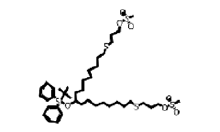 CC(C)(C)[Si](OC(CCCCCCCCSCCCOS(C)(=O)=O)CCCCCCCCSCCCOS(C)(=O)=O)(c1ccccc1)c1ccccc1